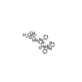 CC1(C)OCC(CNc2cc(C(=O)Nc3ccccc3-c3nc4cccnc4s3)nc(-c3ccccc3)n2)O1